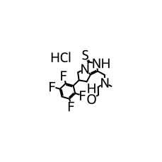 CN(CCO)Cc1[nH]c(=S)n2c1CC(c1c(F)c(F)cc(F)c1F)C2.Cl